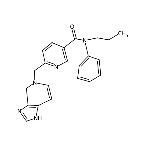 CCCN(C(=O)c1ccc(CN2C=Cc3[nH]cnc3C2)nc1)c1ccccc1